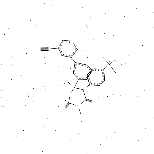 CN1C(=N)N[C@](C)(c2cccc(-c3cncc(C#N)c3)c2)[C@@H](c2ccc(C(C)(C)C)cc2)C1=O